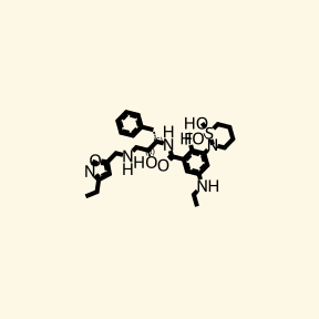 CCNc1cc(C(=O)N[C@@H](Cc2ccccc2)[C@H](O)CNCc2cc(CC)no2)c(F)c(N2CCCCS2(O)O)c1